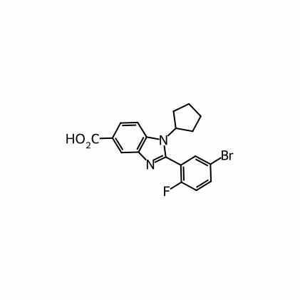 O=C(O)c1ccc2c(c1)nc(-c1cc(Br)ccc1F)n2C1CCCC1